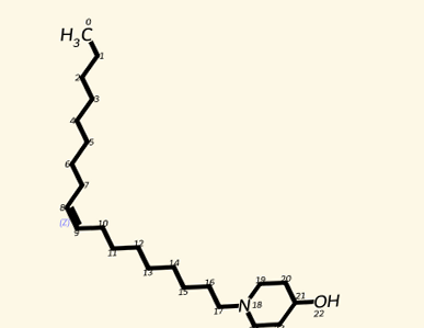 CCCCCCCC/C=C\CCCCCCCCN1CCC(O)CC1